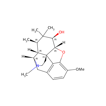 COc1ccc2c3c1O[C@H]1[C@H](O)C(C)(C)[C@H](C)[C@H]4[C@@H](C2)N(C)CC[C@@]341